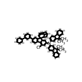 CC1(C)c2ccccc2-c2ccc(N(c3ccc4c(c3)C(C)(C)c3ccccc3-4)c3cc(Cl)c4c(c3)C3(c5cc(-c6cccc(-c7ccccc7)c6)ccc5-4)C4CC5CC(C4)CC3C5)cc21